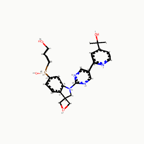 CC(C)(O)c1ccnc(-c2cnc(N3CC4(COC4)c4ccc([S@+]([O-])CCCO)cc43)nc2)c1